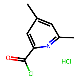 Cc1cc(C)nc(C(=O)Cl)c1.Cl